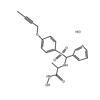 CC#CCOc1ccc(S(=O)(=O)C(NC(C)C(=O)NO)c2cccnc2)cc1.Cl